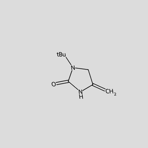 C=C1CN(C(C)(C)C)C(=O)N1